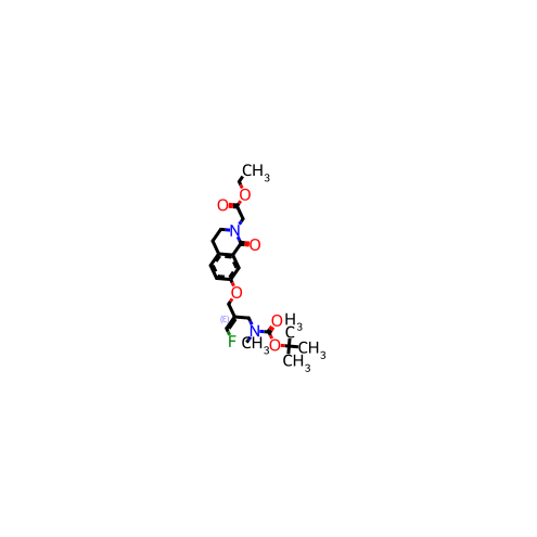 CCOC(=O)CN1CCc2ccc(OC/C(=C/F)CN(C)C(=O)OC(C)(C)C)cc2C1=O